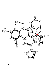 CCOC(=O)C1=C(CN2C3COCC2CC(N)(C(=O)O)C3)NC(c2nccs2)=N[C@H]1c1ccc(C)cc1Br